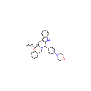 COC(=O)[C@H]1Cc2c([nH]c3ccccc23)C(c2ccc(N3CCOCC3)cc2)N1Cc1ccccc1